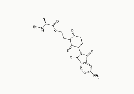 CCN[C@@H](C)C(=O)OCCN1C(=O)CCC(N2C(=O)c3ccc(N)cc3C2=O)C1=O